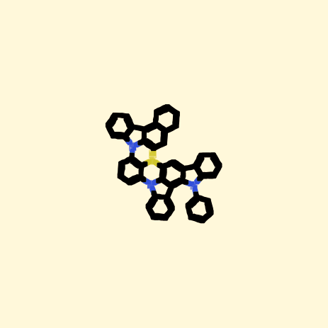 c1ccc(-n2c3ccccc3c3cc4c5c(c6ccccc6n5-c5cccc6c5[SH]4c4cc5ccccc5c5c7ccccc7n-6c45)c32)cc1